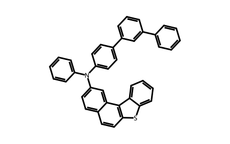 c1ccc(-c2cccc(-c3ccc(N(c4ccccc4)c4ccc5ccc6sc7ccccc7c6c5c4)cc3)c2)cc1